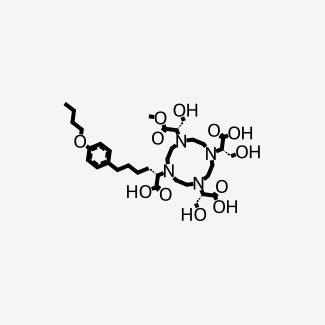 CCCCOc1ccc(CCCC[C@@H](C(=O)O)N2CCN([C@@H](CO)C(=O)O)CCN([C@@H](CO)C(=O)O)CCN([C@@H](CO)C(=O)OC)CC2)cc1